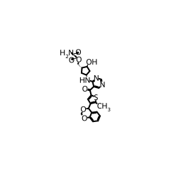 Cc1sc(C(=O)c2cncnc2N[C@@H]2C[C@H](COS(N)(=O)=O)[C@@H](O)C2)cc1C1OCOc2ccccc21